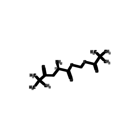 CC(C)(C)C(=O)C[C@@H](N)C(=O)OCOC(=O)C(C)(C)C